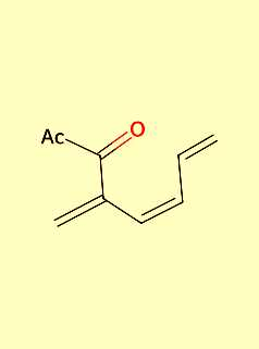 C=C/C=C\C(=C)C(=O)C(C)=O